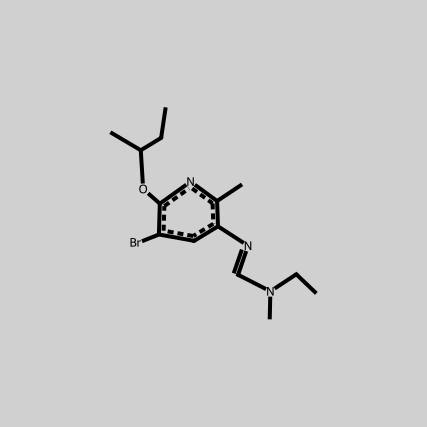 CCC(C)Oc1nc(C)c(/N=C/N(C)CC)cc1Br